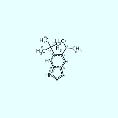 CC(C)c1cc2cc[nH]c2nc1C(C)(C)C